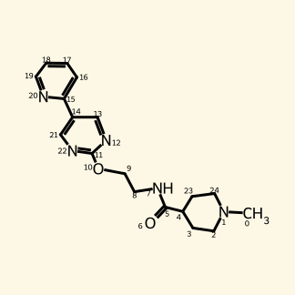 CN1CCC(C(=O)NCCOc2ncc(-c3ccccn3)cn2)CC1